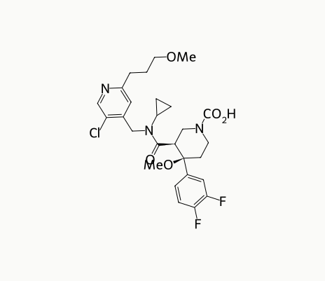 COCCCc1cc(CN(C(=O)[C@H]2CN(C(=O)O)CC[C@]2(OC)c2ccc(F)c(F)c2)C2CC2)c(Cl)cn1